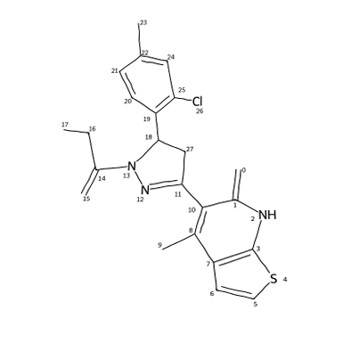 C=C1Nc2sccc2C(C)=C1C1=NN(C(=C)CC)C(c2ccc(C)cc2Cl)C1